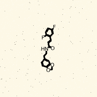 O=C(C=Cc1cc(F)ccc1F)NCCc1ccc2c(c1)OCO2